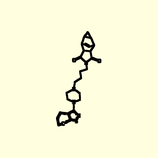 O=C1C2C3C=CC(C4CC34)C2C(=O)N1CCCCN1CCN(c2nsc3ccccc23)CC1